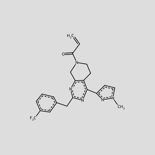 C=CC(=O)N1CCc2c(nc(Cc3cccc(C(F)(F)F)c3)nc2-c2ccn(C)n2)C1